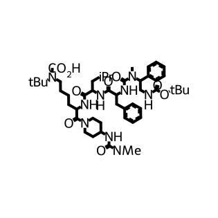 CNC(=O)NC1CCN(C(=O)C(CCCCN(C(=O)O)C(C)(C)C)NC(=O)C(CC(C)C)NC(=O)C(Cc2ccccc2)NC(=O)N(C)C(CNC(=O)OC(C)(C)C)c2ccccc2)CC1